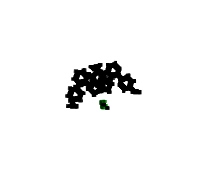 CC(C)(C)c1ccc(-c2cccc3c2C=C(C2CCCC2)[CH]3[Zr+2]2([CH]3C(C4CCCC4)=Cc4c(-c5ccc(C(C)(C)C)cc5)cccc43)[CH2][CH2]2)cc1.[Cl-].[Cl-]